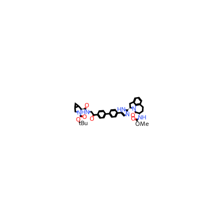 COC(=O)N[C@H]1CCc2cccc3c2N(C1=O)[C@H](c1ncc(-c2ccc(-c4ccc(C(=O)CNC(=O)[C@@H]5C6CC6CN5C(=O)OC(C)(C)C)cc4)cc2)[nH]1)C3